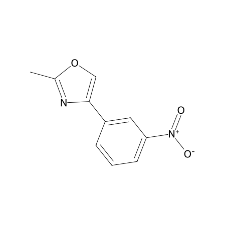 Cc1nc(-c2cccc([N+](=O)[O-])c2)co1